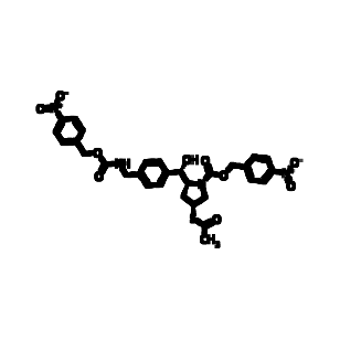 CC(=O)S[C@H]1C[C@@H]([C@@H](O)c2ccc(CNC(=O)OCc3ccc([N+](=O)[O-])cc3)cc2)N(C(=O)OCc2ccc([N+](=O)[O-])cc2)C1